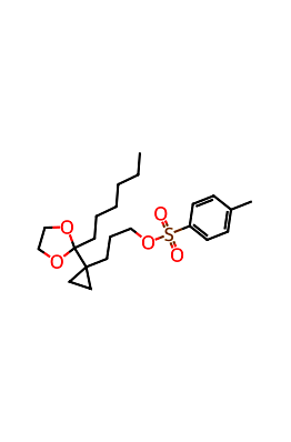 CCCCCCC1(C2(CCCOS(=O)(=O)c3ccc(C)cc3)CC2)OCCO1